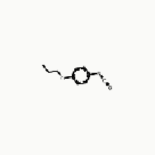 CCCOc1ccc(N=C=O)cc1